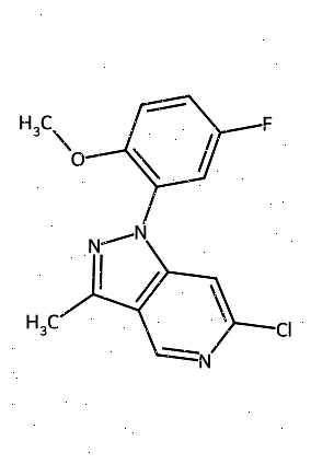 COc1ccc(F)cc1-n1nc(C)c2cnc(Cl)cc21